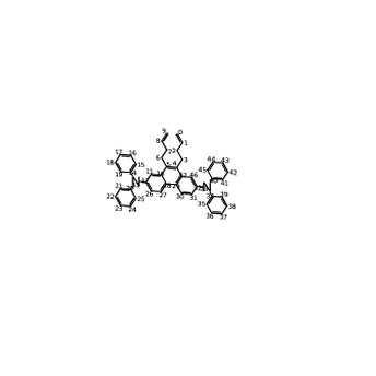 C=CCCc1c(CCC=C)c2cc(N(c3ccccc3)c3ccccc3)ccc2c2ccc(N(c3ccccc3)c3ccccc3)cc12